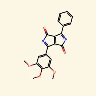 COc1cc(-c2nc(=O)c3c(-c4ccccc4)nc(=O)c2=3)cc(OC)c1OC